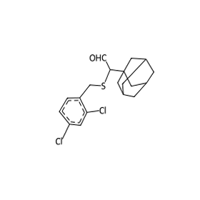 O=CC(SCc1ccc(Cl)cc1Cl)C12CC3CC(CC(C3)C1)C2